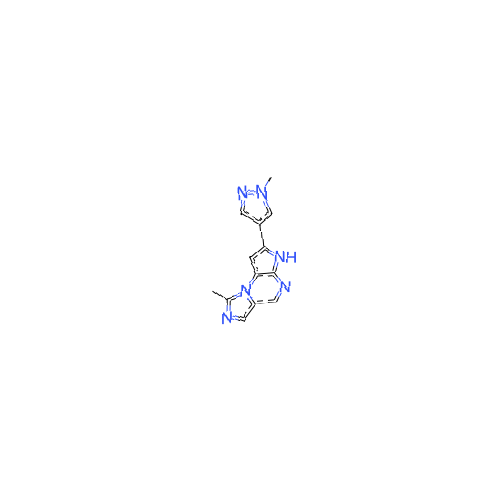 Cc1ncc2cnc3[nH]c(-c4cnn(C)c4)cc3n12